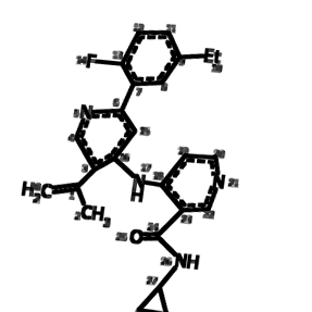 C=C(C)c1cnc(-c2cc(CC)ccc2F)cc1Nc1ccncc1C(=O)NC1CC1